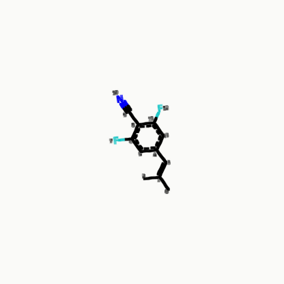 CC(C)=Cc1cc(F)c(C#N)c(F)c1